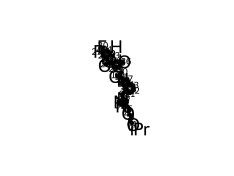 CC(C)OCCOCc1cn(Cc2cccc3c2CN(C(=O)C[C@@H]2C[C@@H](C(=O)N4CC(F)(F)C[C@H]4C)NC2=O)C3)nn1